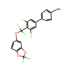 CCCc1ccc(-c2cc(F)c(C(F)(F)Oc3ccc4c(c3)OC(F)(F)O4)c(F)c2)cc1